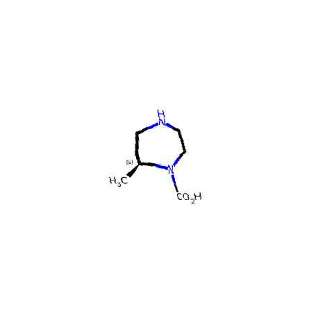 C[C@H]1CNCCN1C(=O)O